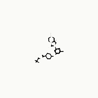 O=C(OC(=O)C(F)(F)F)C1CCC(Oc2cc(F)cc(N3C[C@@H]4CNCCN4C3=O)c2)CC1